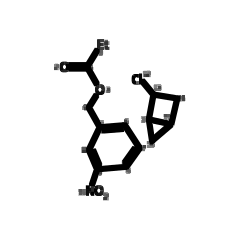 CCC(=O)OCc1cccc([N+](=O)[O-])c1.ClC1CC2CC12